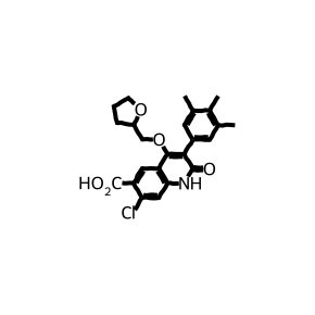 Cc1cc(-c2c(OCC3CCCO3)c3cc(C(=O)O)c(Cl)cc3[nH]c2=O)cc(C)c1C